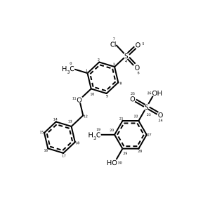 Cc1cc(S(=O)(=O)Cl)ccc1OCc1ccccc1.Cc1cc(S(=O)(=O)O)ccc1O